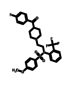 COc1ccc(S(=O)(=O)N(CCN2CCC(C(=O)c3ccc(F)cc3)CC2)c2ccccc2C(F)(F)F)cc1